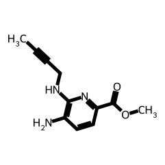 CC#CCNc1nc(C(=O)OC)ccc1N